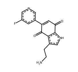 NCCc1c[nH]c2c1C(=O)C(c1cncc(F)c1)=CC2=O